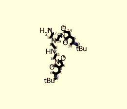 C/C(=C\C(C)(C)C)CC1CC(=O)N(CCNCCN(CCN)CCN2C(=O)CC(C/C(C)=C/C(C)(C)C)C2=O)C1=O